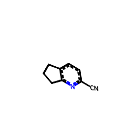 N#Cc1ccc2c(n1)CCC2